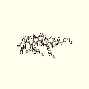 CCC(F)(F)c1cccc([C@@H](C)Nc2ncnc3nc(C)c(C4(OC)CCN(C(=O)CF)CC4)cc23)c1F